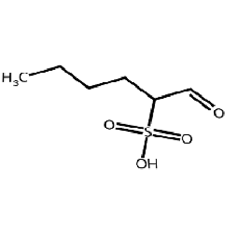 CCCCC(C=O)S(=O)(=O)O